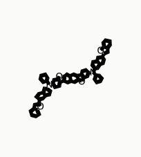 c1ccc(N(c2ccc3cc(-c4cc5ccccc5o4)ccc3c2)c2ccc3c(c2)oc2cc4cc5c(cc4cc23)oc2cc(N(c3ccccc3)c3ccc4cc(-c6cc7ccccc7o6)ccc4c3)ccc25)cc1